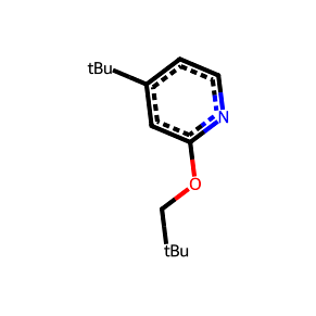 CC(C)(C)COc1cc(C(C)(C)C)ccn1